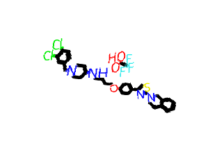 Clc1ccc(CN2CCC(NCCCCOc3ccc(-c4csc(N5CCc6ccccc6C5)n4)cc3)CC2)cc1Cl.O=C(O)C(F)(F)F